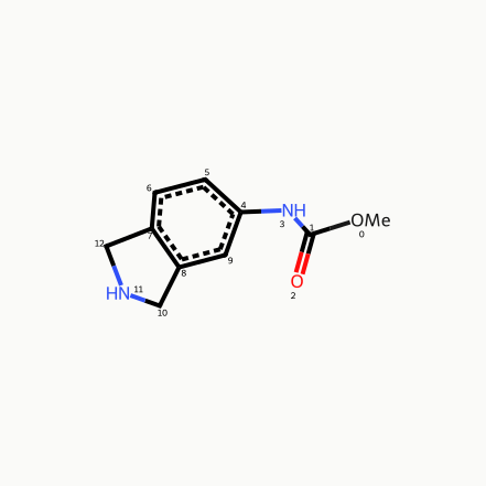 COC(=O)Nc1ccc2c(c1)CNC2